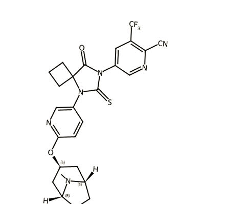 CN1[C@@H]2CC[C@H]1C[C@H](Oc1ccc(N3C(=S)N(c4cnc(C#N)c(C(F)(F)F)c4)C(=O)C34CCC4)cn1)C2